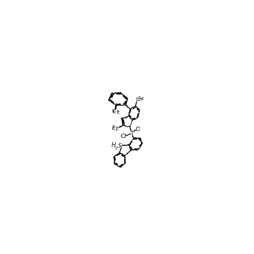 CCC1=Cc2c(ccc(C(C)(C)C)c2-c2ccccc2CC)[CH]1[Zr]([Cl])([Cl])[c]1cccc2c1[SiH2]c1ccccc1-2